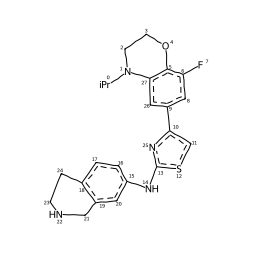 CC(C)N1CCOc2c(F)cc(-c3csc(Nc4ccc5c(c4)CNCC5)n3)cc21